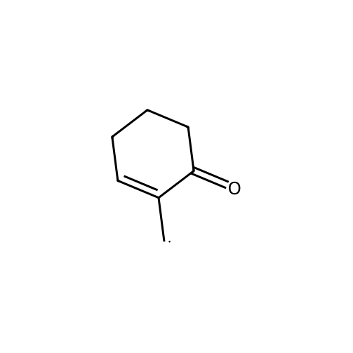 [CH2]C1=CCCCC1=O